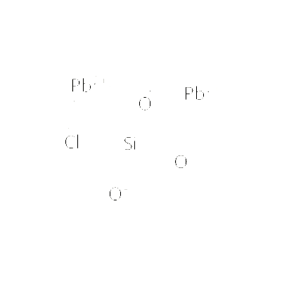 [O-][Si]([O-])([O-])Cl.[Pb+2].[Pb+2]